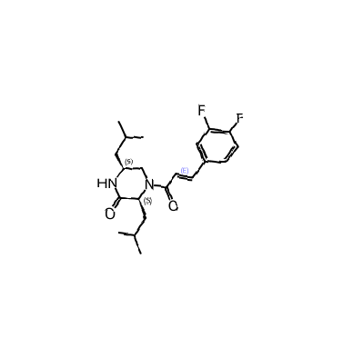 CC(C)C[C@H]1CN(C(=O)/C=C/c2ccc(F)c(F)c2)[C@@H](CC(C)C)C(=O)N1